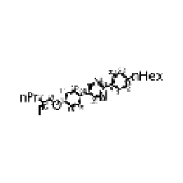 CCCCCCc1ccc(-c2ncc(-c3ccc(OCC(F)CCC)cc3)cn2)cc1